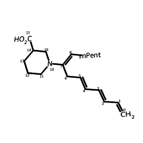 C=CC=CC=CCC(=CCCCCC)N1CCCC(C(=O)O)C1